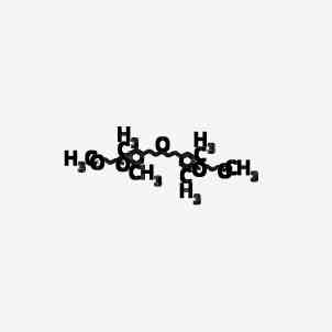 COCCCOc1c(C)cc(CCC(=O)CCc2cc(C)c(OCCCOC)c(C)c2)cc1C